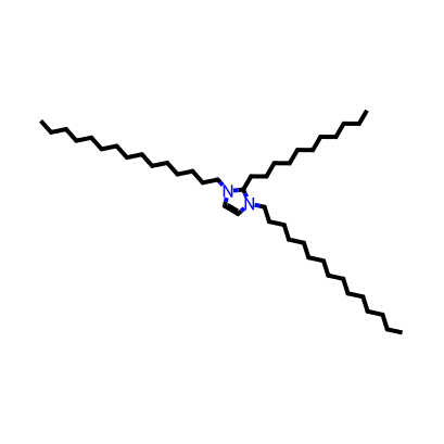 CCCCCCCCCCCCCCCN1C=CN(CCCCCCCCCCCCCCC)C1CCCCCCCCCCC